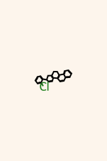 Clc1ccccc1C1C=CC2=C(CCc3c2ccc2ccccc32)C1